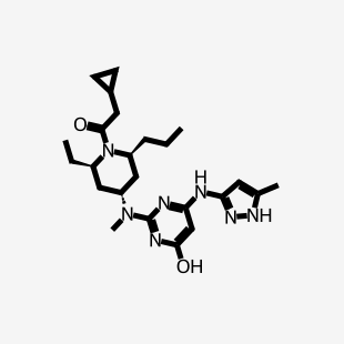 CCC[C@H]1C[C@H](N(C)c2nc(O)cc(Nc3cc(C)[nH]n3)n2)C[C@@H](CC)N1C(=O)CC1CC1